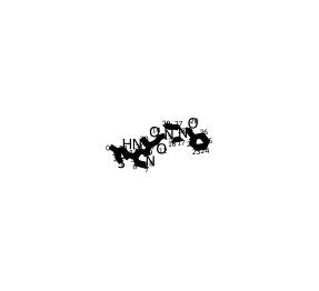 Cc1csc(-c2ccnc3c(C(=O)C(=O)N4CCN(C(=O)c5ccccc5)CC4C)c[nH]c23)c1